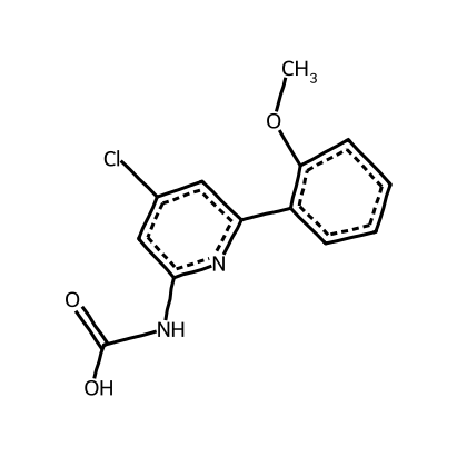 COc1ccccc1-c1cc(Cl)cc(NC(=O)O)n1